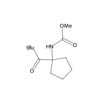 COC(=O)NC1(C(=O)C(C)(C)C)CCCC1